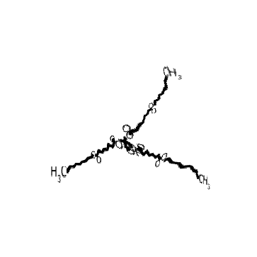 CCCCCCCCCCOC(=O)CCCCCCC(=O)OCC(CO)(COC(=O)CCCCCCC(=O)OCCCCCCCCCC)COC(=O)CCCCCCC(=O)OCCCCCCCCCC